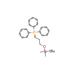 CC(C)(C)[Si](C)(C)OCCC=P(c1ccccc1)(c1ccccc1)c1ccccc1